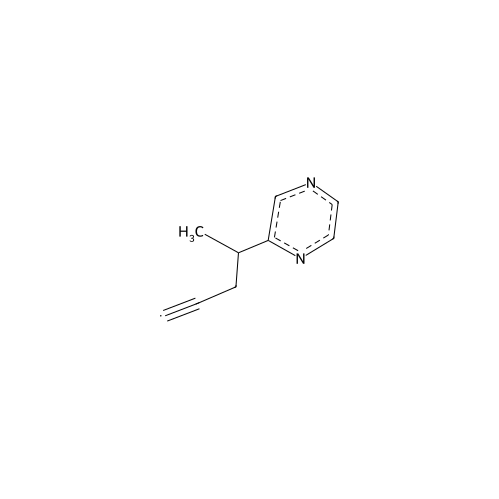 [C]#CCC(C)c1cnccn1